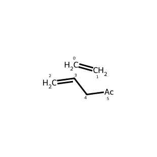 C=C.C=CCC(C)=O